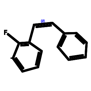 Fc1[c]cccc1/C=C\c1ccccc1